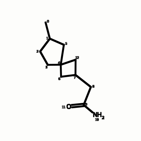 CC1CCC2(C1)CC(CC(N)=O)C2